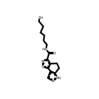 O=C(NCCCCCCS)c1noc2c1CCc1[nH]ncc1-2